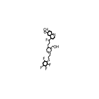 COc1ccc2nccc([C@@H](F)CC[C@@H]3CCN(CCSc4c(F)cc(F)c(F)c4F)C[C@@H]3CO)c2c1